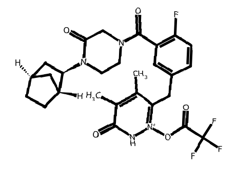 Cc1c(C)c(=O)[nH][n+](OC(=O)C(F)(F)F)c1Cc1ccc(F)c(C(=O)N2CCN([C@@H]3C[C@@H]4CC[C@@H]3C4)C(=O)C2)c1